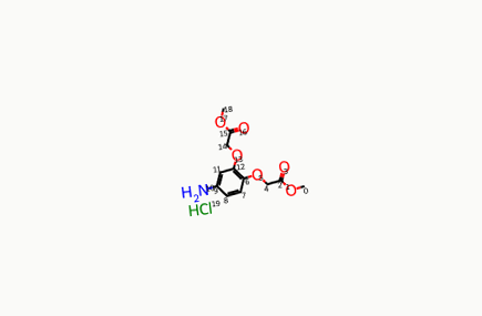 COC(=O)COc1ccc(N)cc1OCC(=O)OC.Cl